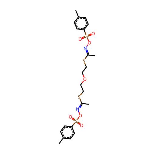 C/C(=N\OS(=O)(=O)c1ccc(C)cc1)SCCOCCS/C(C)=N/OS(=O)(=O)c1ccc(C)cc1